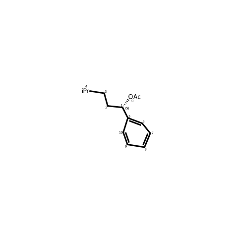 CC(=O)O[C@@H](CCC(C)C)c1ccccc1